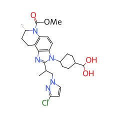 COC(=O)N1c2ccc3c(nc(C(C)Cn4ccc(Cl)n4)n3C3CCC(C(O)O)CC3)c2CC[C@@H]1C